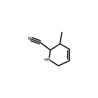 CC1C=CCNC1C#N